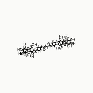 O=C(CCC(=O)Nc1ccc(S[C@@H]2O[C@H](CO)[C@@H](O[C@@H]3O[C@H](CO)[C@@H](O)[C@H](O)[C@H]3O)[C@H](O)[C@H]2O)cc1)Nc1ccc(S[C@@H]2O[C@H](CO)[C@@H](O[C@@H]3O[C@H](CO)[C@@H](O)[C@H](O)[C@H]3O)[C@H](O)[C@H]2O)cc1